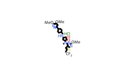 COc1nc(N(C)[C@H]2C[C@@H](NCC3CCC(c4cc(OC)c(OC)nn4)CC3)C[C@H]2O)c2cc(CC(F)(F)F)sc2n1.Cl